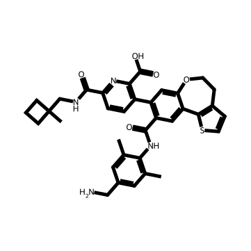 Cc1cc(CN)cc(C)c1NC(=O)c1cc2c(cc1-c1ccc(C(=O)NCC3(C)CCC3)nc1C(=O)O)OCCc1ccsc1-2